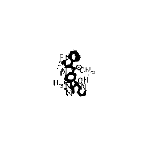 COc1c(-c2ccccc2)c(C(F)(F)F)nc2ccc(C(O)(c3ccccn3)c3cncn3C)cc12